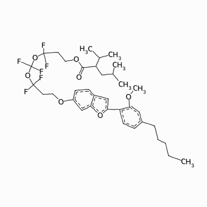 CCCCCc1ccc(-c2cc3ccc(OCCC(F)(F)OC(F)(F)OC(F)(F)CCOC(=O)C(CC(C)C)C(C)C)cc3o2)c(OC)c1